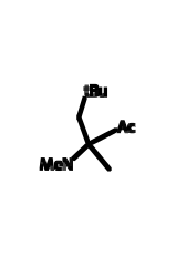 CNC(C)(CC(C)(C)C)C(C)=O